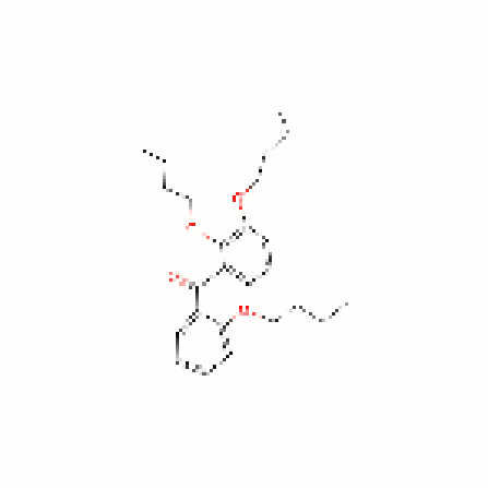 CCCCOc1ccccc1C(=O)c1cccc(OCCCC)c1OCCCC